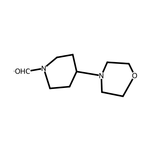 O=[C]N1CCC(N2CCOCC2)CC1